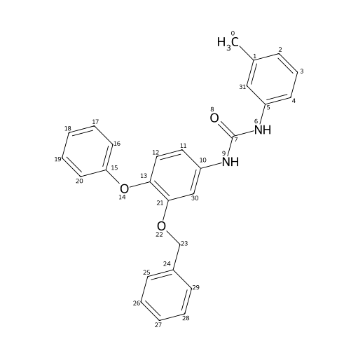 Cc1cccc(NC(=O)Nc2ccc(Oc3ccccc3)c(OCc3ccccc3)c2)c1